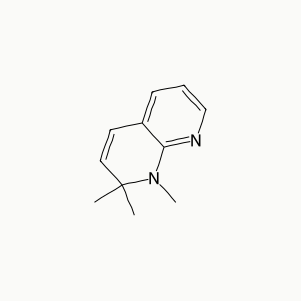 CN1c2ncccc2C=CC1(C)C